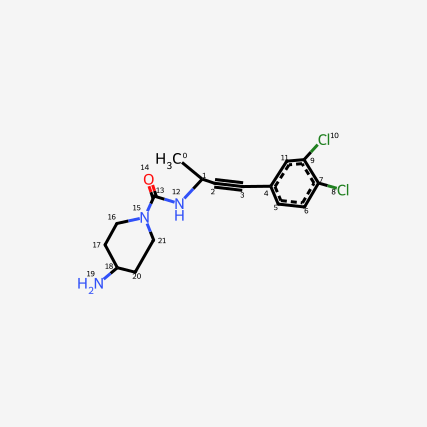 CC(C#Cc1ccc(Cl)c(Cl)c1)NC(=O)N1CCC(N)CC1